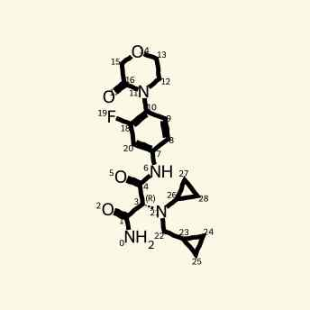 NC(=O)[C@H](C(=O)Nc1ccc(N2CCOCC2=O)c(F)c1)N(CC1CC1)C1CC1